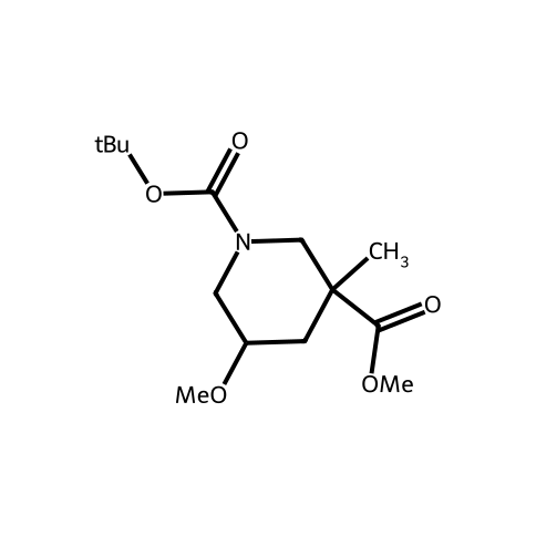 COC(=O)C1(C)CC(OC)CN(C(=O)OC(C)(C)C)C1